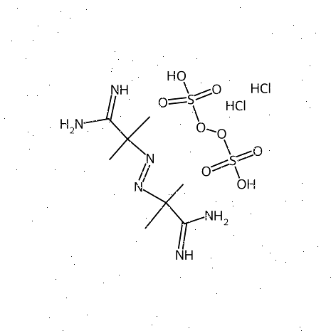 CC(C)(N=NC(C)(C)C(=N)N)C(=N)N.Cl.Cl.O=S(=O)(O)OOS(=O)(=O)O